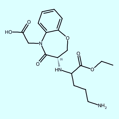 CCOC(=O)C(CCCN)N[C@H]1COc2ccccc2N(CC(=O)O)C1=O